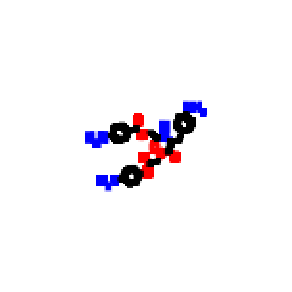 Nc1ccc(CC(NC(=O)COC(=O)c2ccc(N)cc2)C(=O)OCC(=O)Oc2ccc(N)cc2)cc1